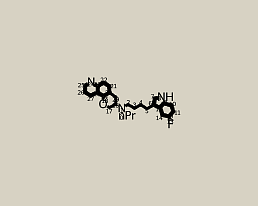 CCCN(CCCCc1c[nH]c2ccc(F)cc12)[C@@H]1COc2c(ccc3ncccc23)C1